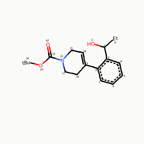 CCC(O)c1ccccc1C1=CCN(C(=O)OC(C)(C)C)CC1